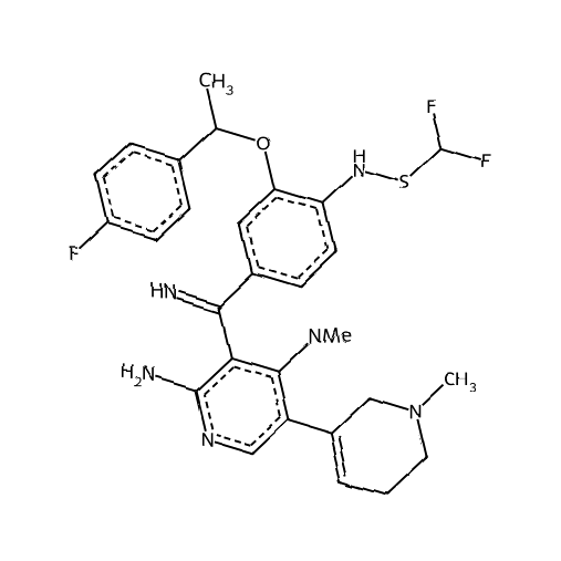 CNc1c(C2=CCCN(C)C2)cnc(N)c1C(=N)c1ccc(NSC(F)F)c(OC(C)c2ccc(F)cc2)c1